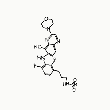 N#Cc1c(Nc2c(F)ccc(CCCN[SH](=O)=O)c2F)ccc2ncc(N3CCOCC3)nc12